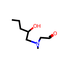 CCCC(O)CN(C)C[C]=O